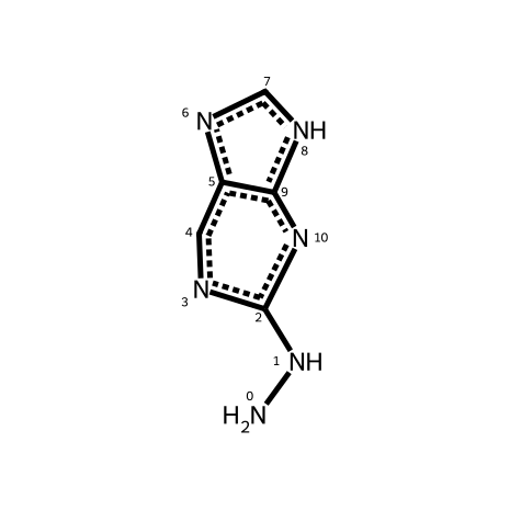 NNc1ncc2nc[nH]c2n1